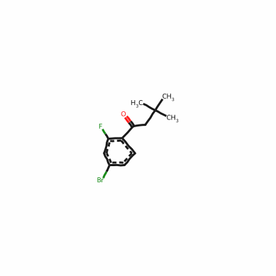 CC(C)(C)CC(=O)c1ccc(Br)cc1F